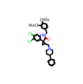 COc1ccc(CNC(=O)C2(c3ccc(Cl)c(Cl)c3)CC2CN2CCC(c3ccccc3)CC2)cc1OC